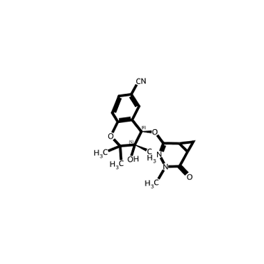 CN1N=C(O[C@@H]2c3cc(C#N)ccc3OC(C)(C)[C@@]2(C)O)C2CC2C1=O